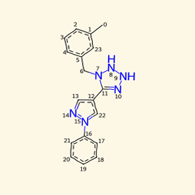 Cc1cccc(CN2NNN=C2c2cnn(-c3ccccc3)c2)c1